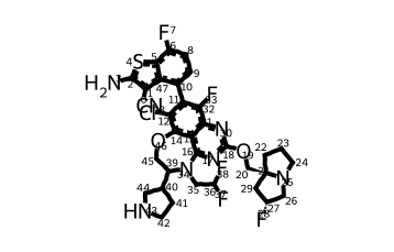 N#Cc1c(N)sc2c(F)ccc(-c3c(Cl)c4c5c(nc(OC[C@@]67CCCN6C[C@H](F)C7)nc5c3F)N(CC(F)F)C(C3CCNC3)CO4)c12